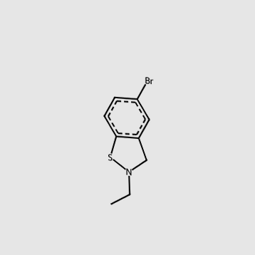 CCN1Cc2cc(Br)ccc2S1